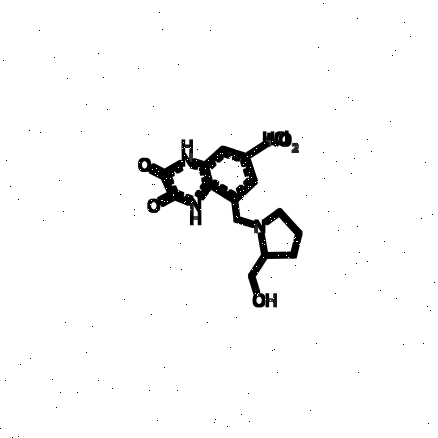 Cl.O=c1[nH]c2cc([N+](=O)[O-])cc(CN3CCCC3CO)c2[nH]c1=O